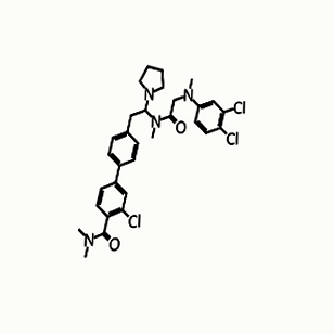 CN(C)C(=O)c1ccc(-c2ccc(CC(N3CCCC3)N(C)C(=O)CN(C)c3ccc(Cl)c(Cl)c3)cc2)cc1Cl